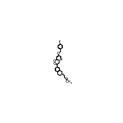 COCCN1CCc2ccc(C(=O)Cn3ncc(OCc4ccc(F)cc4)cc3=O)cc2C1